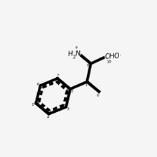 CC(c1ccccc1)C(N)[C]=O